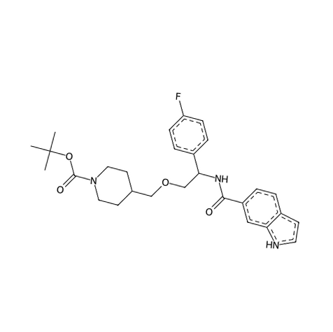 CC(C)(C)OC(=O)N1CCC(COCC(NC(=O)c2ccc3cc[nH]c3c2)c2ccc(F)cc2)CC1